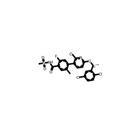 Cc1cc(C(=O)NS(C)(=O)=O)c(F)cc1-c1ccc(O[C@H](C)c2cc(Cl)ccc2Cl)nc1Cl